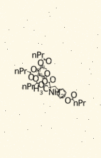 CCCC(=O)Oc1ccc(CC(C)(N)C(=O)O[C@@H]2OC[C@@H](OC(=O)CCC)[C@H](OC(=O)CCC)[C@H]2OC(=O)CCC)cc1